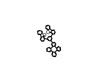 c1ccc2c(c1)-c1ccccc1-c1ccc(-c3cc(-c4cccc5c4oc4ccccc45)cc(-c4cccc5c4oc4ccccc45)c3)cc1-c1ccccc1-2